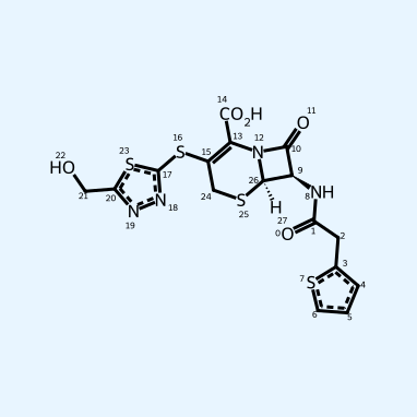 O=C(Cc1cccs1)N[C@@H]1C(=O)N2C(C(=O)O)=C(Sc3nnc(CO)s3)CS[C@H]12